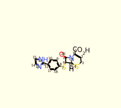 O=C(O)C1=CCS[C@H]2C(Sc3ccc(-c4ncc[nH]4)cc3)C(=O)N12